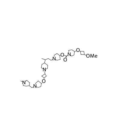 CO[C@H]1C[C@H](OC2CCN(C(=O)OC3CCN(CCC(C)C4CCN(C5CC(OC6CCN(CC7CCN(C)CC7)CC6)C5)CC4)CC3)CC2)C1